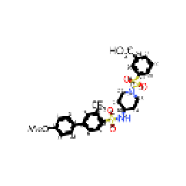 COc1ccc(-c2ccc(S(=O)(=O)NC3CCN(S(=O)(=O)c4cccc(C(=O)O)c4)CC3)c(C(F)(F)F)c2)cc1